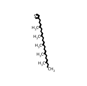 C=CC/C(C)=C/CC/C(C)=C/CC/C(C)=C/CC/C(C)=C/CC/C(C)=C/CCc1ccsc1